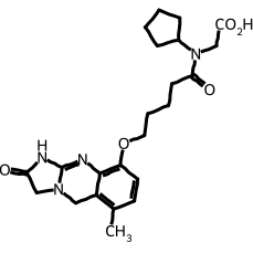 Cc1ccc(OCCCCC(=O)N(CC(=O)O)C2CCCC2)c2c1CN1CC(=O)NC1=N2